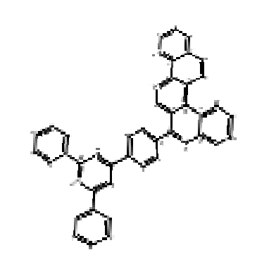 c1ccc(-c2cc(-c3ccc(-c4nc5ccccc5c5c4cnc4c5ccc5cccnc54)cc3)nc(-c3ccccc3)n2)cc1